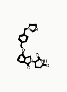 O=C1CCC(N2Cc3c(OCc4ccc(Cn5ccnc5)cc4)cccc3C2=O)C(=O)N1